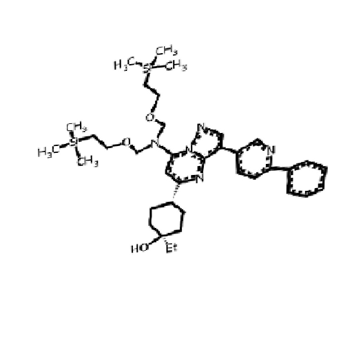 CC[C@]1(O)CC[C@H](c2cc(N(COCC[Si](C)(C)C)COCC[Si](C)(C)C)n3ncc(-c4ccc(-c5ccccc5)nc4)c3n2)CC1